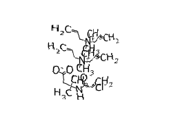 C=CC(=O)NC(C)(C)CC(=O)[O-].C=CC[N+](C)(C)CC=C.C=CC[N+](C)(C)CC=C.[Cl-]